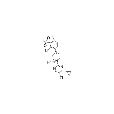 CC(C)[C@@H]1CN(c2ccc(F)c(S(C)(=O)=O)c2Cl)CCN1c1ncc(Cl)c(C2CC2)n1